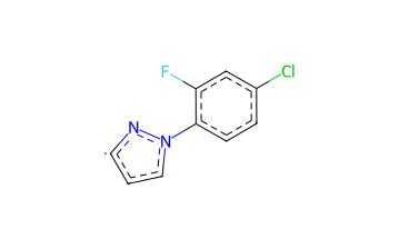 Fc1cc(Cl)ccc1-n1cc[c]n1